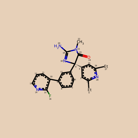 CCc1cc([C@]2(c3cccc(-c4cccnc4F)c3)N=C(N)N(C)C2=O)cc(CC)n1